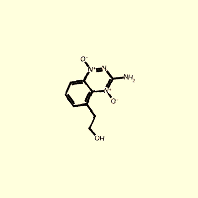 Nc1n[n+]([O-])c2cccc(CCO)c2[n+]1[O-]